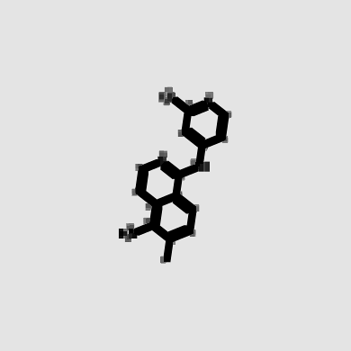 Cc1ccc2c(Nc3ccnc(C(F)(F)F)c3)nccc2c1N